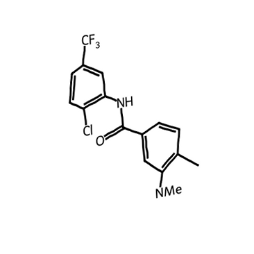 CNc1cc(C(=O)Nc2cc(C(F)(F)F)ccc2Cl)ccc1C